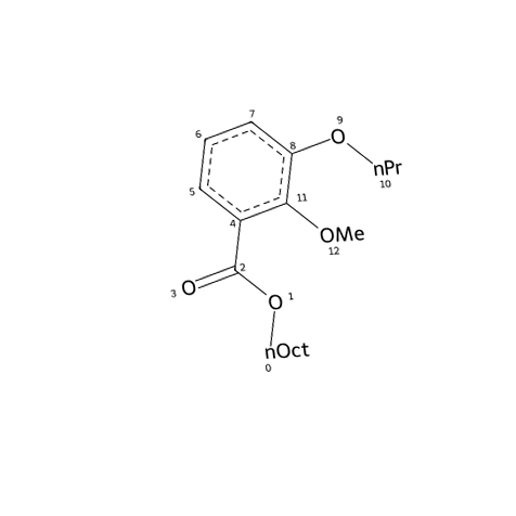 CCCCCCCCOC(=O)c1cccc(OCCC)c1OC